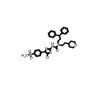 CS(=O)(=O)c1ccc(-c2nc(NC(=O)N(CCC3CCOCC3)CCC(c3ccccc3)c3ccccc3)sc2Cl)cc1